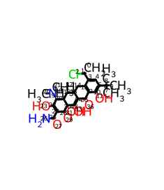 C=C(Cl)c1cc(C(C)(C)C)c(O)c2c1C[C@H]1C[C@H]3[C@@H](N(C)C)C(O)=C(C(N)=O)C(=O)[C@@]3(O)C(O)=C1C2=O